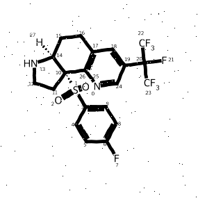 O=S(=O)(c1ccc(F)cc1)[C@]12CCN[C@H]1CCc1cc(C(F)(C(F)(F)F)C(F)(F)F)cnc12